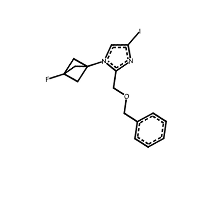 FC12CC(n3cc(I)nc3COCc3ccccc3)(C1)C2